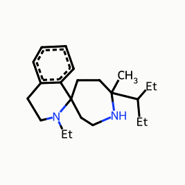 CCC(CC)C1(C)CCC2(CCN1)c1ccccc1CCN2CC